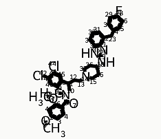 COc1ccc(C(=O)N(C)CC(CCN2CCC(Nc3nc4c(Cc5ccc(F)cc5)cccc4[nH]3)CC2)c2ccc(Cl)c(Cl)c2)c(OC)c1